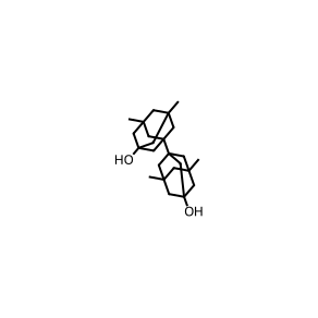 CC12CC3(C)CC(O)(C1)CC(C14CC5(C)CC(C)(CC(O)(C5)C1)C4)(C2)C3